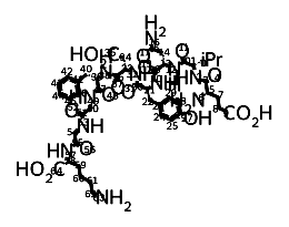 CC(C)[C@H](NC(=O)[C@@H](N)CCC(=O)O)C(=O)N[C@@H](CC(N)=O)C(=O)N[C@@H](Cc1ccc(O)cc1)C(=O)N[C@@H](CC(=O)O)C(=O)N[C@@H](Cc1ccccc1)C(=O)NCC(=O)NCC(=O)N[C@@H](CCCCN)C(=O)O